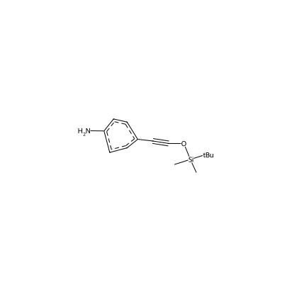 CC(C)(C)[Si](C)(C)OC#Cc1ccc(N)cc1